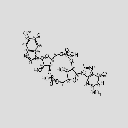 Nc1nc2c(ncn2C2OC3COP(=O)(O)OC4C(COP(=O)(O)OC2C3O)OC(n2cnc3cc(Cl)c(Cl)cc32)C4O)c(=O)[nH]1